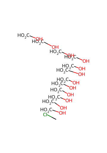 CCl.O=C(O)O.O=C(O)O.O=C(O)O.O=C(O)O.O=C(O)O.O=C(O)O.O=C(O)O.O=C(O)O.O=C(O)O.O=C(O)O.O=C(O)O.O=C(O)O